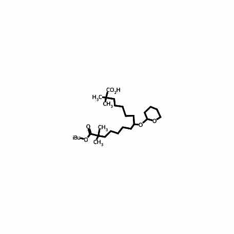 CCC(C)OC(=O)C(C)(C)CCCCCC(CCCCCC(C)(C)C(=O)O)OC1CCCCO1